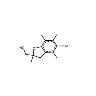 CC(=O)Oc1c(C)c(C)c2c(c1C)CC(C)(CC#N)O2